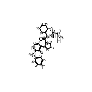 CN[C@@H](C)C(=O)N[C@H](C(=O)N1CCC[C@H]1c1ccnc(N(C)c2ccc(F)cc2)c1F)C1CCCCC1